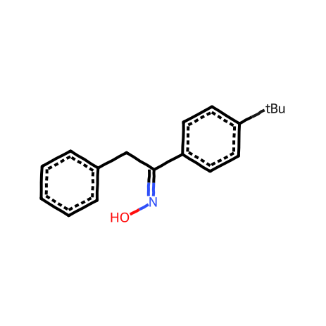 CC(C)(C)c1ccc(C(Cc2ccccc2)=NO)cc1